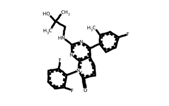 Cc1cc(F)ccc1-c1nc(NCC(C)(C)O)nc2c1ccc(=O)n2-c1c(F)cccc1F